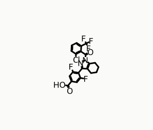 O=C(O)c1cc(F)c(-c2nn(C(=O)c3c(Cl)cccc3C(F)(F)F)c3c2CCCC3)c(F)c1